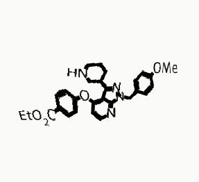 CCOC(=O)c1ccc(Oc2ccnc3c2c(C2CCCNC2)nn3Cc2ccc(OC)cc2)cc1